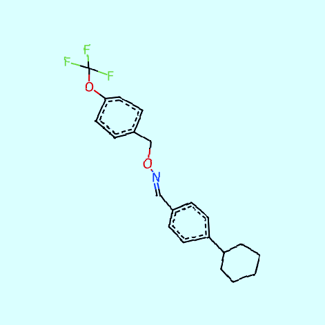 FC(F)(F)Oc1ccc(CON=[C]c2ccc(C3CCCCC3)cc2)cc1